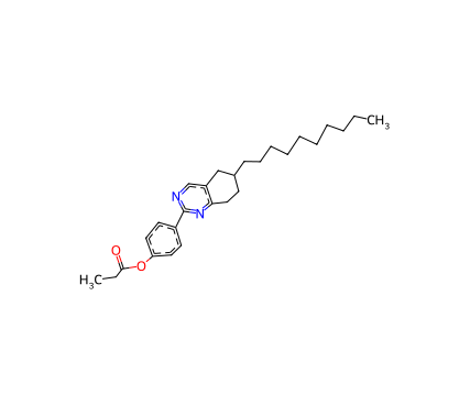 CCCCCCCCCCC1CCc2nc(-c3ccc(OC(=O)CC)cc3)ncc2C1